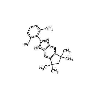 CC(C)c1cccc(N)c1-c1nc2cc3c(cc2[nH]1)C(C)(C)CC3(C)C